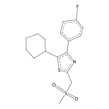 CS(=O)(=O)Cc1nc(-c2ccc(F)cc2)c(C2CCCCC2)s1